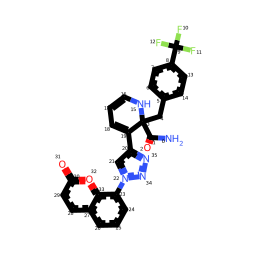 NC(=O)C1(Cc2ccc(C(F)(F)F)cc2)NC=CC=C1c1cn(-c2cccc3ccc(=O)oc23)nn1